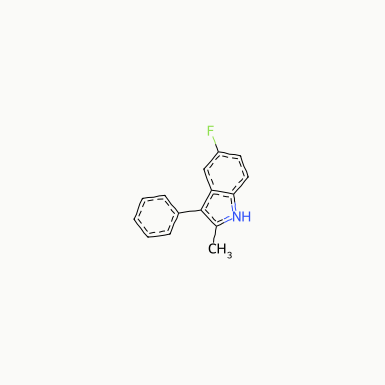 Cc1[nH]c2ccc(F)cc2c1-c1ccccc1